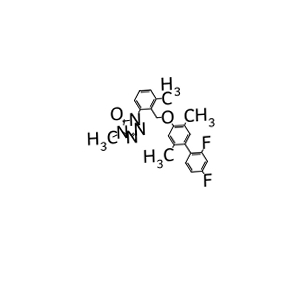 Cc1cc(-c2ccc(F)cc2F)c(C)cc1OCc1c(C)cccc1-n1nnn(C)c1=O